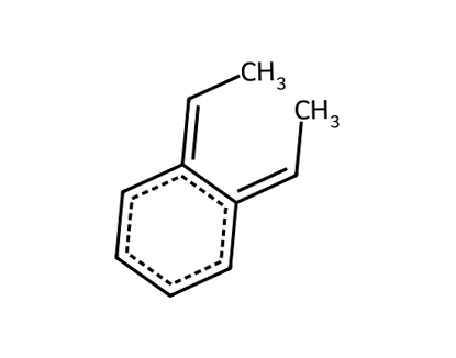 C/C=c1/cccc/c1=C/C